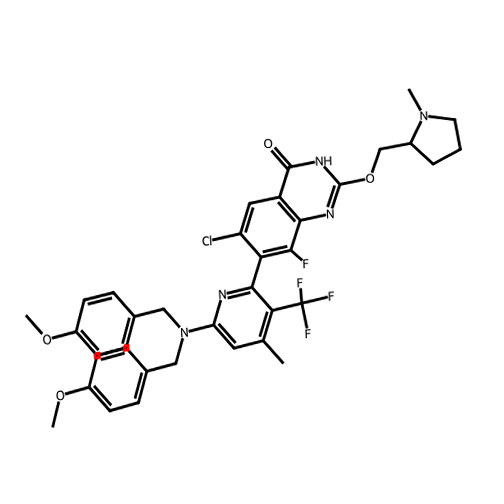 COc1ccc(CN(Cc2ccc(OC)cc2)c2cc(C)c(C(F)(F)F)c(-c3c(Cl)cc4c(=O)[nH]c(OCC5CCCN5C)nc4c3F)n2)cc1